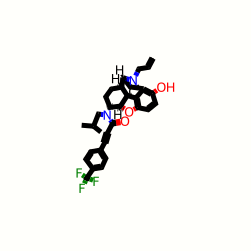 C=CCN1CC[C@@]23c4c5ccc(O)c4C[C@@H]1[C@@H]2CC[C@@H](N(CC(C)C)C(=O)C#Cc1ccc(C(F)(F)F)cc1)[C@@H]3O5